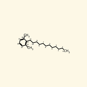 CCCCCCCCCCCCc1c(C)[c]ccc1C